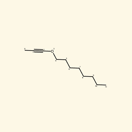 CC#COCCCCCCCC